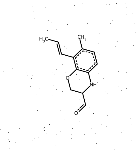 CC=Cc1c(C)ccc2c1OCC(C=O)N2